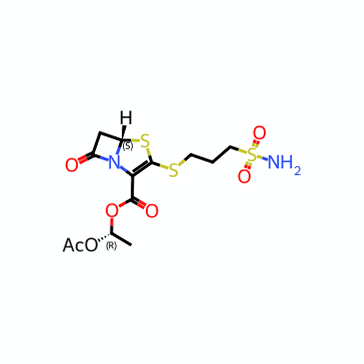 CC(=O)O[C@@H](C)OC(=O)C1=C(SCCCS(N)(=O)=O)S[C@H]2CC(=O)N12